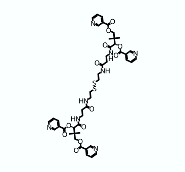 CC(C)(COC(=O)c1cccnc1)[C@@H](OC(=O)c1cccnc1)C(=O)NCCC(=O)NCCSSCCNC(=O)CCNC(=O)[C@H](OC(=O)c1cccnc1)C(C)(C)COC(=O)c1cccnc1